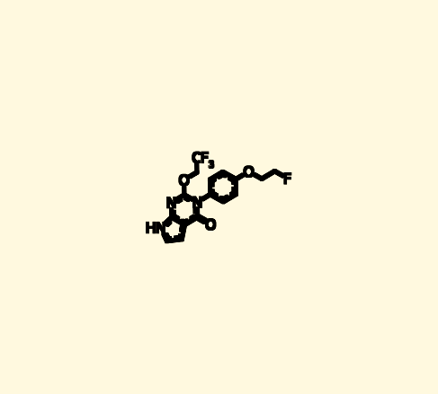 O=c1c2cc[nH]c2nc(OCC(F)(F)F)n1-c1ccc(OCCF)cc1